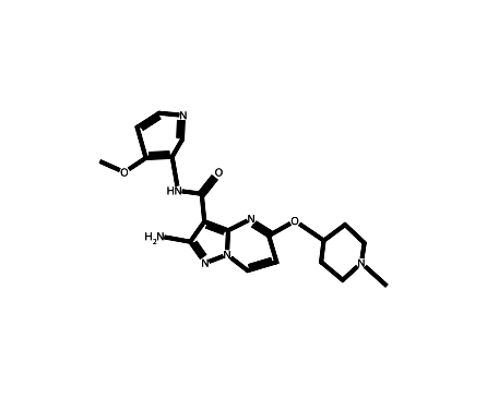 COc1ccncc1NC(=O)c1c(N)nn2ccc(OC3CCN(C)CC3)nc12